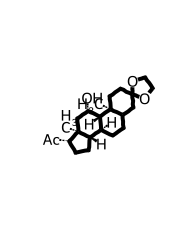 CC(=O)[C@H]1CC[C@H]2[C@@H]3CCC4CC5(CC[C@]4(C)[C@H]3[C@@H](O)C[C@]12C)OCCO5